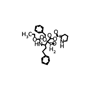 CCOC(=O)NC(CCc1ccccc1)C(OCc1ccccc1)([PH2]=O)C(=O)OC(=O)[C@@H]1CCCN1